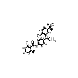 CN(c1ccc(NC(=O)c2c(F)cccc2F)cc1)c1cc(C(F)(F)F)ccc1Cl